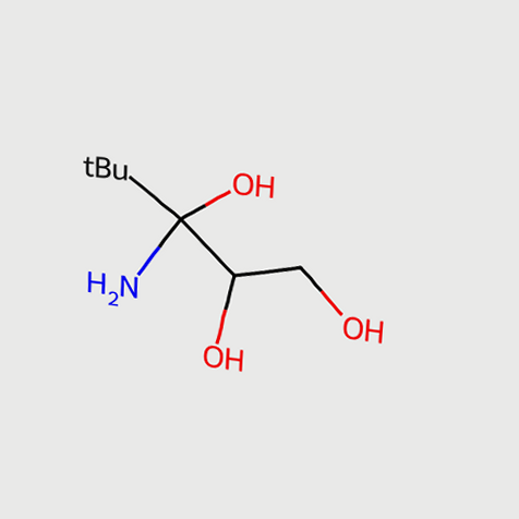 CC(C)(C)C(N)(O)C(O)CO